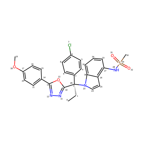 CC[C@@](c1ccc(Cl)cc1)(c1nnc(-c2ccc(OC)cc2)o1)n1ccc2c(NS(C)(=O)=O)cccc21